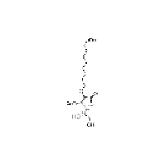 CCCCCCCCCCCCCCCCCCOC1=C(OC(C)=O)[C@@H]([C@@H](O)CO)OC1=O